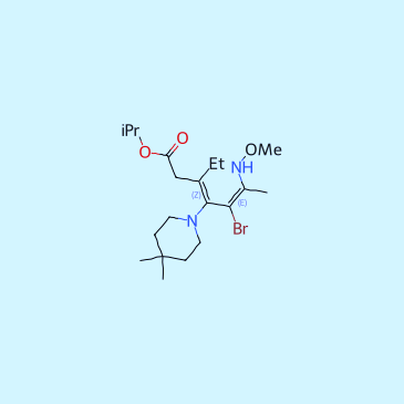 CC/C(CC(=O)OC(C)C)=C(\C(Br)=C(\C)NOC)N1CCC(C)(C)CC1